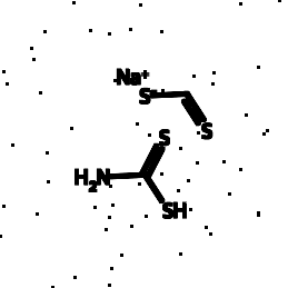 NC(=S)S.S=C[S-].[Na+]